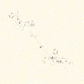 CCCCC[C@@H](NC(=O)[C@H](Cc1ccccc1)NC(=O)C1CCCN1C(=O)[C@H](CCCCNC(=O)CCCCC(=O)NCCCC[C@H](NC(=O)[C@H](C)N)C(=O)N1CCCC1C(=O)N[C@@H](Cc1ccccc1)C(N)=O)NC(=O)[C@H](C)N)C(N)=O